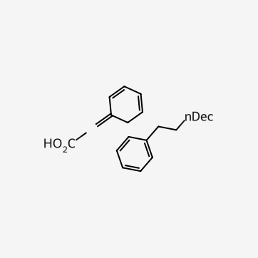 C=C1C=CC=CC1.CC(=O)O.CCCCCCCCCCCCc1ccccc1